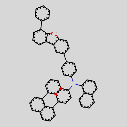 c1ccc(-c2cccc3c2oc2ccc(-c4ccc(N(c5ccc(-c6cccc7cccc(-c8ccccc8)c67)cc5)c5cccc6ccccc56)cc4)cc23)cc1